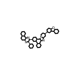 c1ccc(-c2nc3ccc4ccccc4c3nc2-c2ccc3c(c2)c2ccccc2c2nc4cc(-c5ccc6oc7ccccc7c6c5)ccn4c32)cc1